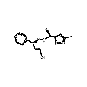 Cc1cc(C(=O)NN=C(C=NO)c2ccccc2)n[nH]1